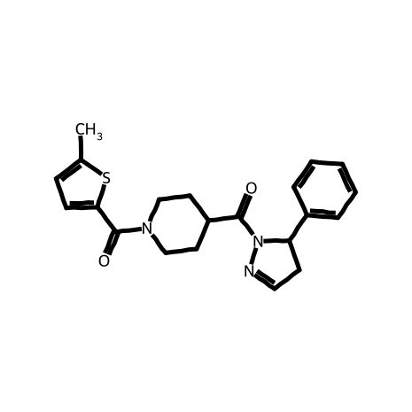 Cc1ccc(C(=O)N2CCC(C(=O)N3N=CCC3c3ccccc3)CC2)s1